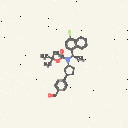 C[C@H](c1ccc(F)c2ccccc12)N(C(=O)OC(C)(C)C)C1CC[C@@H](c2ccc(C=O)cc2)C1